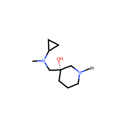 CC(C)N1CCC[C@@](O)(CN(C)C2CC2)C1